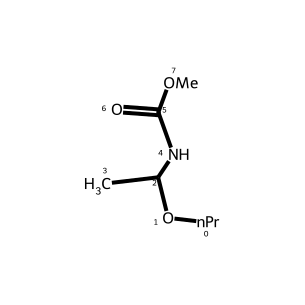 CCCOC(C)NC(=O)OC